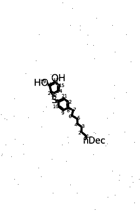 CCCCCCCCCCCCCCCCCc1ccc(Sc2ccc(O)c(O)c2)cc1